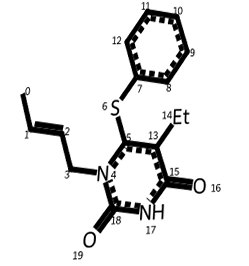 CC=CCn1c(Sc2ccccc2)c(CC)c(=O)[nH]c1=O